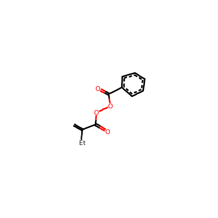 C=C(CC)C(=O)OOC(=O)c1ccccc1